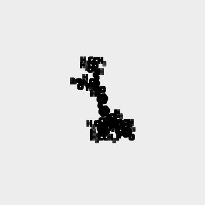 CC(C)(C)OC(=O)NCCCC[C@H](NC(=O)CNC(=O)CBr)C(=O)Nc1cccc(Cc2ccc([C@@H]3O[C@@H]4C[C@H]5C6C[C@H](F)C7=CC(=O)C=C[C@]7(C)[C@@]6(F)[C@@H](O)C[C@]5(C)[C@]4(C(=O)COP(=O)(OC(C)(C)C)OC(C)(C)C)O3)cc2)c1